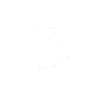 O=C(Nc1cnccc1F)c1n[nH]c2ccc(-c3cncc(CN4CCCC4)c3)cc12